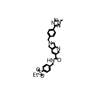 CCS(=O)(=O)c1ccc(CNC(=O)c2cnc3c(c2)CN(Cc2ccc(-c4nnn(C)n4)cc2)C3)cc1